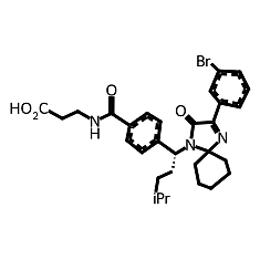 CC(C)CC[C@H](c1ccc(C(=O)NCCC(=O)O)cc1)N1C(=O)C(c2cccc(Br)c2)=NC12CCCCC2